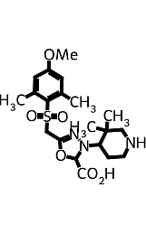 COc1cc(C)c(S(=O)(=O)CC2=NN(C3CCNCC3(C)C)C(C(=O)O)O2)c(C)c1